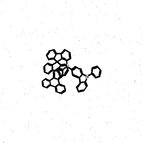 c1ccc(-n2c3ccccc3c3cc(N(c4ccc5c6ccccc6c6ccccc6c5c4)c4cccc5c4C4(c6ccccc6-c6ccccc64)c4ccccc4-5)ccc32)cc1